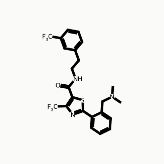 CN(C)Cc1ccccc1-c1nc(C(F)(F)F)c(C(=O)NCCc2cccc(C(F)(F)F)c2)s1